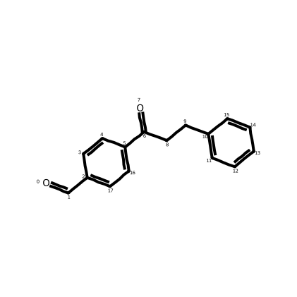 O=Cc1ccc(C(=O)CCc2ccccc2)cc1